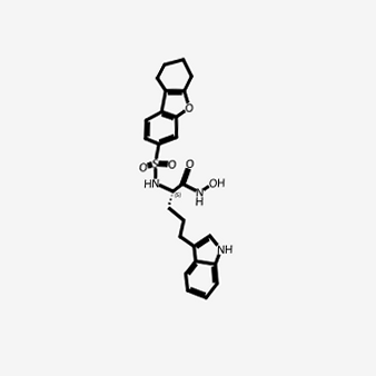 O=C(NO)[C@H](CCCc1c[nH]c2ccccc12)NS(=O)(=O)c1ccc2c3c(oc2c1)CCCC3